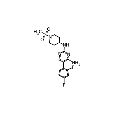 CS(=O)(=O)N1CCC(Nc2ncc(-c3ccc(F)[c]c3F)c(N)n2)CC1